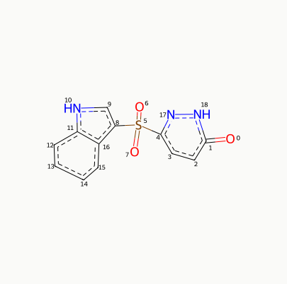 O=c1ccc(S(=O)(=O)c2c[nH]c3ccccc23)n[nH]1